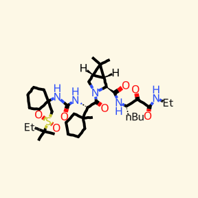 CCCC[C@H](NC(=O)[C@@H]1[C@@H]2[C@H](CN1C(=O)[C@@H](NC(=O)NC1(CS(=O)(=O)C(C)(C)CC)CCCCC1)C1(C)CCCCC1)C2(C)C)C(=O)C(=O)NCC